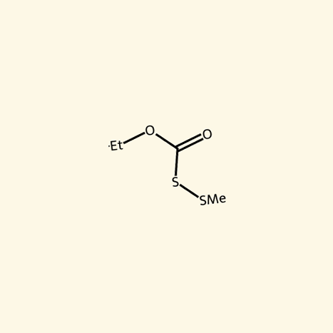 C[CH]OC(=O)SSC